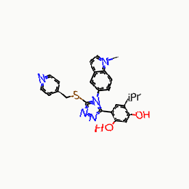 CC(C)c1cc(-c2nnc(SCc3ccncc3)n2-c2ccc3c(ccn3C)c2)c(O)cc1O